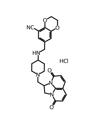 Cl.N#Cc1cc(CNC2CCN(CC3Cn4c(=O)ccc5ccc(=O)n3c54)CC2)cc2c1OCCO2